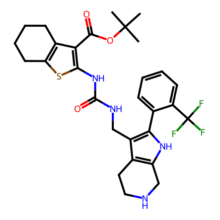 CC(C)(C)OC(=O)c1c(NC(=O)NCc2c(-c3ccccc3C(F)(F)F)[nH]c3c2CCNC3)sc2c1CCCC2